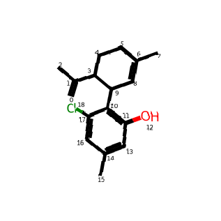 C=C(C)C1CCC(C)=CC1c1c(O)cc(C)cc1Cl